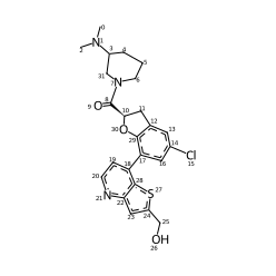 CN(C)C1CCCN(C(=O)[C@H]2Cc3cc(Cl)cc(-c4ccnc5cc(CO)sc45)c3O2)C1